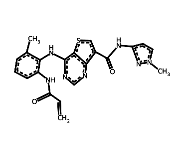 C=CC(=O)Nc1cccc(C)c1Nc1ncnc2c(C(=O)Nc3ccn(C)n3)csc12